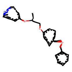 CC(COc1ccc(Oc2ccccc2)cc1)Oc1ccncc1